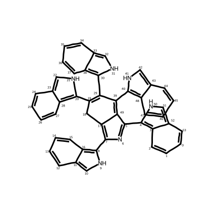 c1ccc2c(C3=NC(c4[nH]cc5ccccc45)=C4CC(c5[nH]cc6ccccc56)=C(c5[nH]cc6ccccc56)C(c5[nH]cc6ccccc56)=C34)[nH]cc2c1